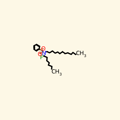 CCCCCCCCCCCCCN(C(F)CCCCCCC)S(=O)(=O)c1ccccc1